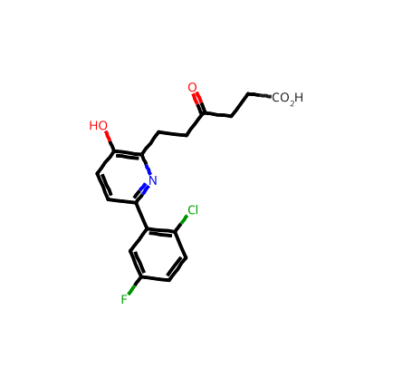 O=C(O)CCC(=O)CCc1nc(-c2cc(F)ccc2Cl)ccc1O